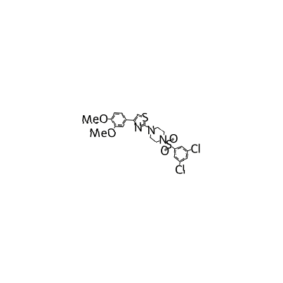 COc1ccc(-c2csc(N3CCN(S(=O)(=O)c4cc(Cl)cc(Cl)c4)CC3)n2)cc1OC